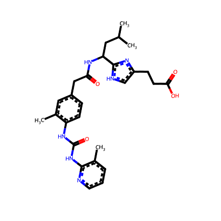 Cc1cc(CC(=O)NC(CC(C)C)c2nc(CCC(=O)O)c[nH]2)ccc1NC(=O)Nc1ncccc1C